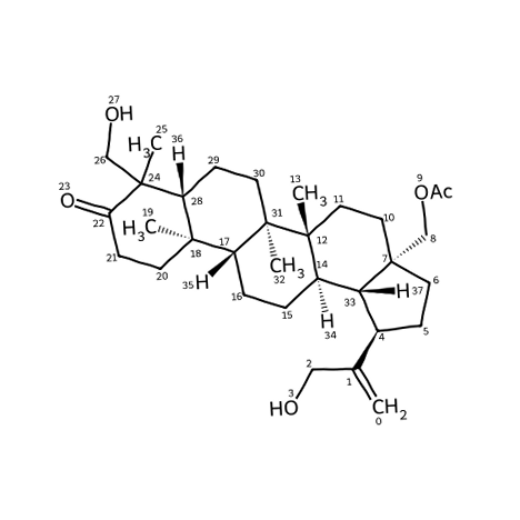 C=C(CO)[C@@H]1CC[C@]2(COC(C)=O)CC[C@]3(C)[C@H](CC[C@@H]4[C@@]5(C)CCC(=O)C(C)(CO)[C@@H]5CC[C@]43C)[C@@H]12